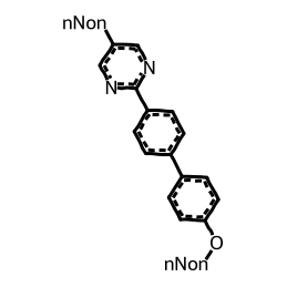 CCCCCCCCCOc1ccc(-c2ccc(-c3ncc(CCCCCCCCC)cn3)cc2)cc1